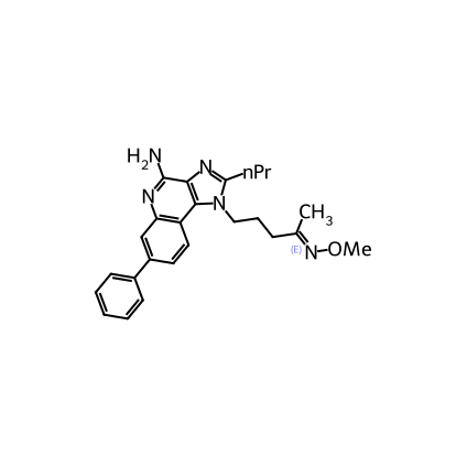 CCCc1nc2c(N)nc3cc(-c4ccccc4)ccc3c2n1CCC/C(C)=N/OC